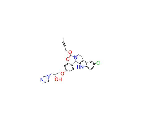 CC#CCOC(=O)N1CCc2c([nH]c3ccc(Cl)cc23)C1c1ccc(OCC(O)Cn2ccnc2)cc1